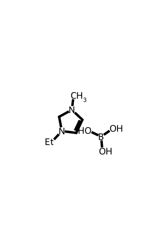 CCN1C=CN(C)C1.OB(O)O